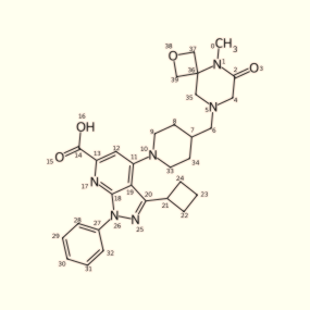 CN1C(=O)CN(CC2CCN(c3cc(C(=O)O)nc4c3c(C3CCC3)nn4-c3ccccc3)CC2)CC12COC2